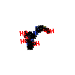 O=C(O)c1ccc2c(/N=N/c3cnc4ccc(SOOO)cc4c3)ccc(/N=N/c3c(C(=O)O)nc4ccccc4c3O)c2n1